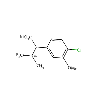 CCOC(=O)C(c1ccc(Cl)c(OC)c1)[C@@H](C)C(F)(F)F